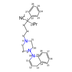 CC(C)C(C#N)(CCCN1CCN(N2C=CCc3ccccc32)CC1)c1ccccc1